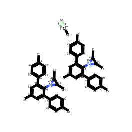 Cc1ccc(-c2cc(C)cc(-c3ccc(C)cc3)c2N2C(C)C2C)cc1.Cc1ccc(-c2cc(C)cc(-c3ccc(C)cc3)c2N2C(C)C2C)cc1.[CH3][Pd+].[Cl-]